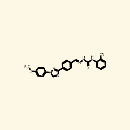 N#Cc1ccccc1NC(=S)N/N=C/c1ccc(-c2ncn(-c3ccc(OC(F)(F)F)cc3)n2)cc1